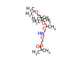 CC(C)OCCC(C)(C)C(C)(C)OCC(C)OCNCOCCOC(=O)C(C)C